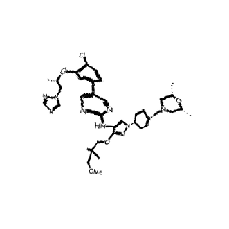 COCC(C)(C)COc1nn([C@H]2CC[C@H](N3C[C@@H](C)O[C@@H](C)C3)CC2)cc1Nc1ncc(-c2ccc(Cl)c(O[C@@H](C)Cn3cncn3)c2)cn1